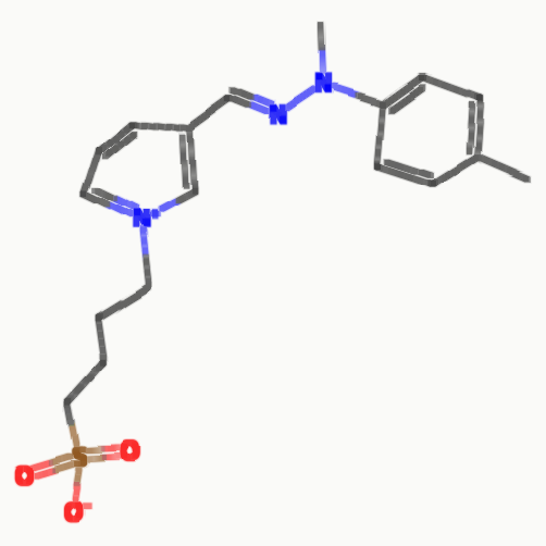 Cc1ccc(N(C)/N=C/c2ccc[n+](CCCCS(=O)(=O)[O-])c2)cc1